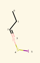 CCC=BSI